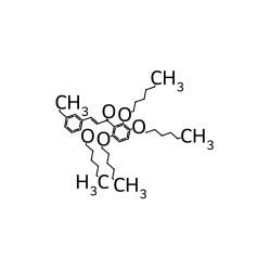 CCCCCCOc1ccc(CC)cc1C=CC(=O)c1c(OCCCCCC)ccc(OCCCCCC)c1OCCCCCC